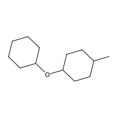 CC1CCC(OC2CCCCC2)CC1